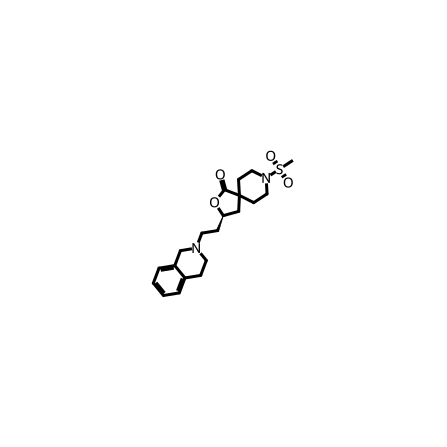 CS(=O)(=O)N1CCC2(CC1)C[C@@H](CCN1CCc3ccccc3C1)OC2=O